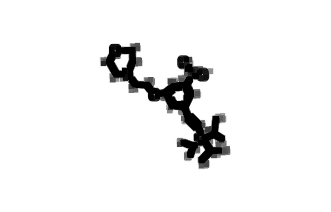 CC(C)[Si](C#Cc1cc(OCCN2CCOCC2)cc([N+](=O)[O-])c1)(C(C)C)C(C)C